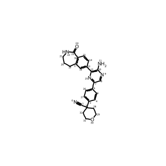 N#CC1(c2ccc(-c3cnc(N)c(-c4ccc5c(c4)CCCNC5=O)n3)cc2)CCOCC1